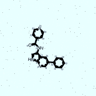 O=C(Nc1c[nH]c2ncc(-c3ccccc3)cc12)c1ccncc1